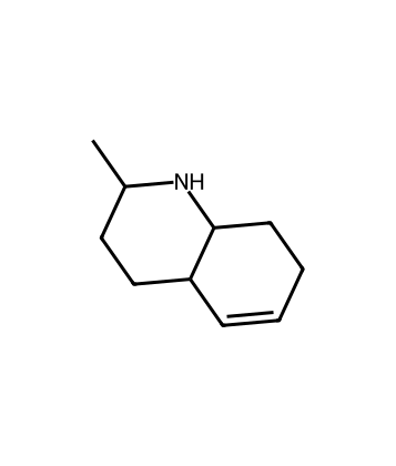 CC1CCC2C=CCCC2N1